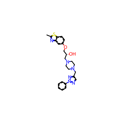 Cc1nc2cc(OC[C@H](O)CN3CCN(Cc4cnn(-c5ccccc5)n4)CC3)ccc2s1